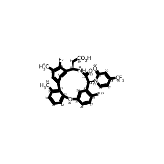 Cc1cc2cc(c1F)[C@@H](CC(=O)O)NC(=O)[C@@H](n1ccc(C(F)(F)F)cc1=O)c1cc(ccc1F)Oc1cccc(C)c1-2